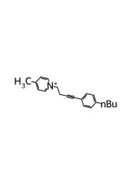 CCCCc1ccc(C#CCC[n+]2ccc(C)cc2)cc1